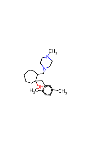 Cc1ccc(C)c(CC2(O)CCCCCC2CN2CCN(C)CC2)c1